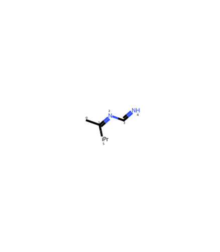 C/C(=N/C=N)C(C)C